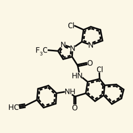 C#Cc1ccc(NC(=O)c2cc3ccccc3c(Cl)c2NC(=O)c2cc(C(F)(F)F)nn2-c2ncccc2Cl)cc1